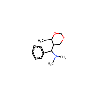 CC1OCOCC1C(c1ccccc1)N(C)C